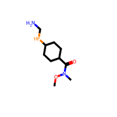 CON(C)C(=O)C1CCC(PCN)CC1